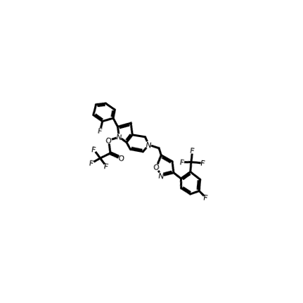 O=C(On1c(-c2ccccc2F)cc2c1C=CN(Cc1cc(-c3ccc(F)cc3C(F)(F)F)no1)C2)C(F)(F)F